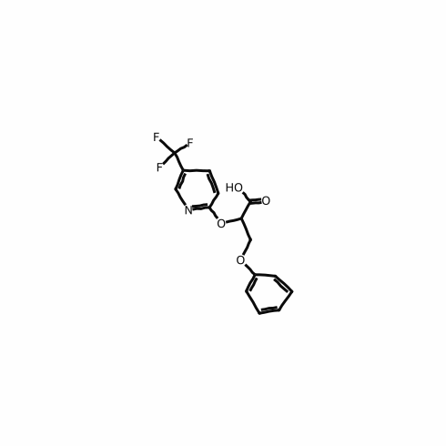 O=C(O)C(COc1ccccc1)Oc1ccc(C(F)(F)F)cn1